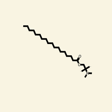 [CH2]C([CH2])(COC(=O)CCCCCCCCCCCCCCCCC)N(C)C